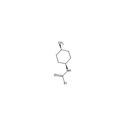 CCC(=O)N[C@H]1CC[C@@H](C)CC1